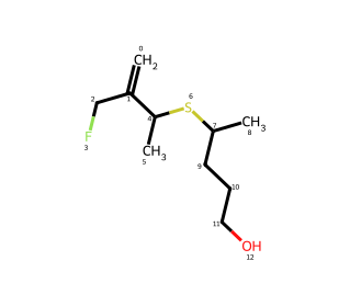 C=C(CF)C(C)SC(C)CCCO